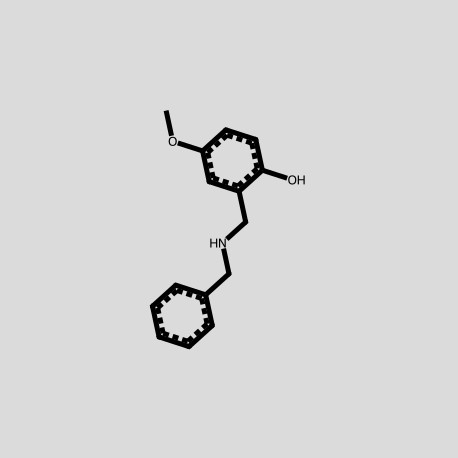 COc1ccc(O)c(CNCc2ccccc2)c1